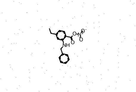 CCc1ccc(C(=O)O[N+](=O)[O-])c(NCc2ccccc2)c1